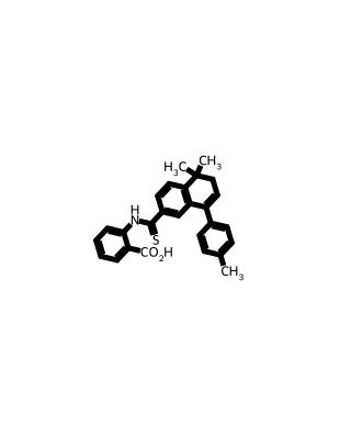 Cc1ccc(C2=CCC(C)(C)c3ccc(C(=S)Nc4ccccc4C(=O)O)cc32)cc1